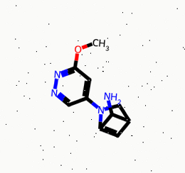 COc1cc(N2CC3C=C2C3N)cnn1